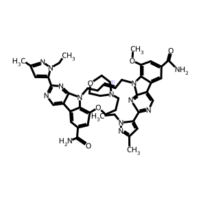 CCn1nc(C)cc1-c1ncc2c3cc(C(N)=O)cc(OC)c3n(C/C=C/CCn3c4nc(-c5cc(C)nn5CC)ncc4c4cc(C(N)=O)cc(OCCCN5CCOCC5)c43)c2n1